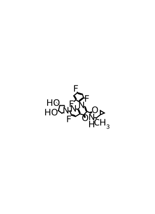 C[C@H](NC(=O)c1cn(-c2c(F)cc(F)cc2F)c2nc(N3C[C@@H](O)[C@H](O)C3)c(F)cc2c1=O)C1CC1